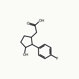 O=C(O)CC1CCC(O)C1c1ccc(F)cc1